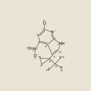 O=[N+]([O-])c1cc(Cl)nc2[nH]cc(C3(C(F)(F)F)CC3)c12